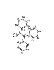 ClC(=C(c1ccccc1)c1ccccc1)c1ccccc1